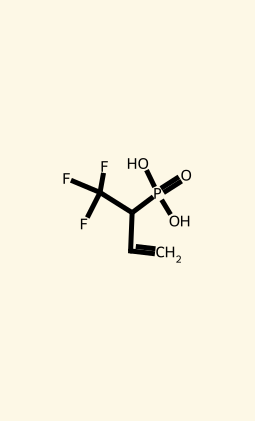 C=CC(C(F)(F)F)P(=O)(O)O